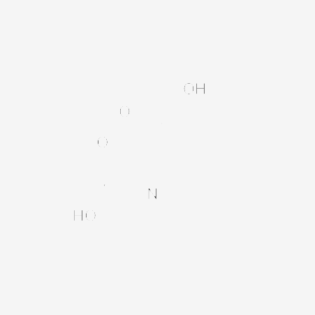 O=C(O)C1CCC=CN1C(=O)O